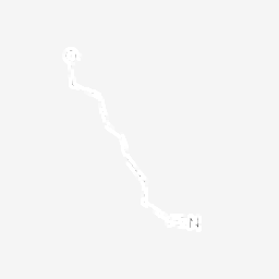 N#CCCCCCCC[O]